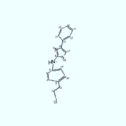 ICCc1ccc(Nc2nc(-c3ccccc3)cs2)cc1